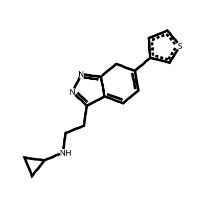 C1=C2C(CCNC3CC3)=NN=C2CC(c2ccsc2)=C1